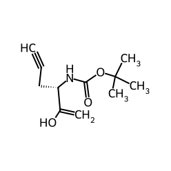 C#CC[C@H](NC(=O)OC(C)(C)C)C(=C)O